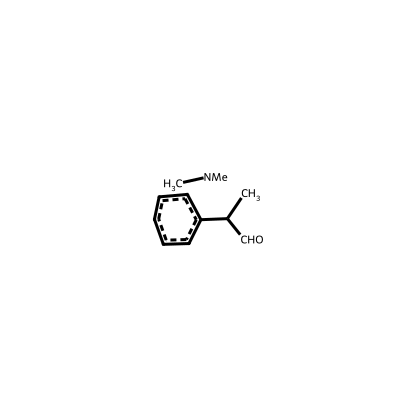 CC(C=O)c1ccccc1.CNC